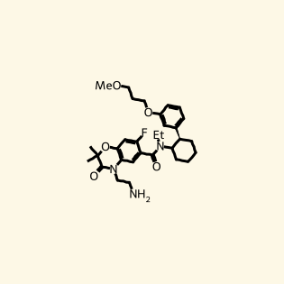 CCN(C(=O)c1cc2c(cc1F)OC(C)(C)C(=O)N2CCN)C1CCCC[C@@H]1c1cccc(OCCCOC)c1